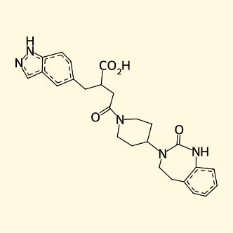 O=C(O)C(CC(=O)N1CCC(N2CCc3ccccc3NC2=O)CC1)Cc1ccc2[nH]ncc2c1